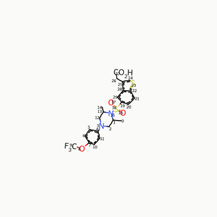 CC1CN(c2ccc(OC(F)(F)F)cc2)CC(C)N1S(=O)(=O)c1ccc2scc(CC(=O)O)c2c1